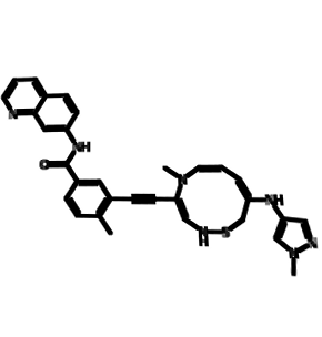 Cc1ccc(C(=O)Nc2ccc3cccnc3c2)cc1C#C/C1=C/NSC/C(Nc2cnn(C)c2)=C\C=C/N1C